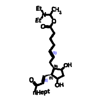 CCCCCCCC(=O)/C=C/[C@H]1C(O)CC(O)[C@@H]1C/C=C/CCCC(=O)OC(C)N(CC)CC